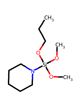 CCCO[Si](OC)(OC)N1CCCCC1